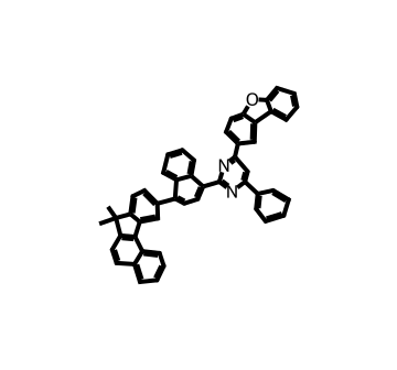 CC1(C)c2ccc(-c3ccc(-c4nc(-c5ccccc5)cc(-c5ccc6oc7ccccc7c6c5)n4)c4ccccc34)cc2-c2c1ccc1ccccc21